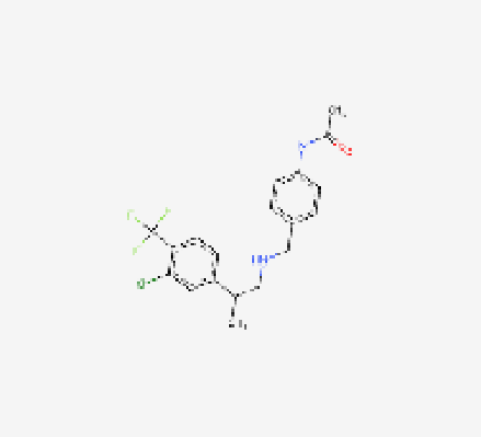 CC(=O)Nc1ccc(CNCC(C)c2ccc(C(F)(F)F)c(Cl)c2)cc1